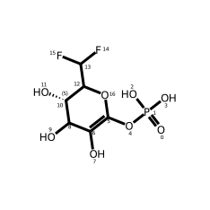 O=P(O)(O)OC1=C(O)C(O)[C@H](O)C(C(F)F)O1